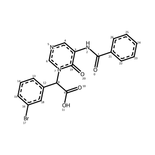 O=C(Nc1cncn(C(C(=O)O)c2cccc(Br)c2)c1=O)c1ccccc1